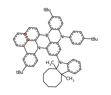 CC(C)(C)c1ccc(N2c3ccc(C(C)(C)C)cc3B3c4ccccc4N(c4ccc(C(C)(C)C)cc4-c4ccccc4)c4cc(N5c6ccccc6C6(C)CCCCCCC56C)cc2c43)cc1